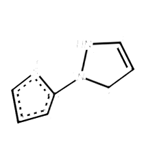 C1=CNN(c2cccs2)C1